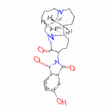 O=C1c2ccc(O)cc2C(=O)N1C1CC[C@@H]2[C@H]3CCCN4CCC[C@@H](CN2C1=O)[C@@H]34